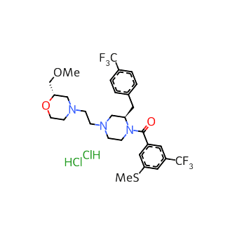 COC[C@@H]1CN(CCN2CCN(C(=O)c3cc(SC)cc(C(F)(F)F)c3)[C@H](Cc3ccc(C(F)(F)F)cc3)C2)CCO1.Cl.Cl